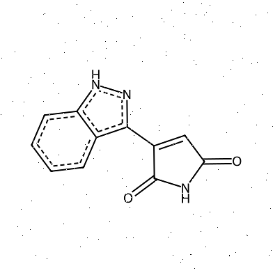 O=C1C=C(c2n[nH]c3ccccc23)C(=O)N1